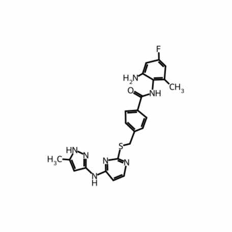 Cc1cc(Nc2ccnc(SCc3ccc(C(=O)Nc4c(C)cc(F)cc4N)cc3)n2)n[nH]1